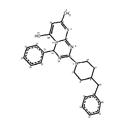 CC1=NC2=NC(N3CCC(Cc4ccccc4)CC3)=NC(c3ccccc3)N2C(O)=C1